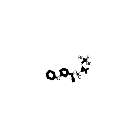 C#CC(OC(=O)[C@@H]1[C@H](CC(Br)(Br)Br)C1(C)C)c1cccc(Oc2ccccc2)c1